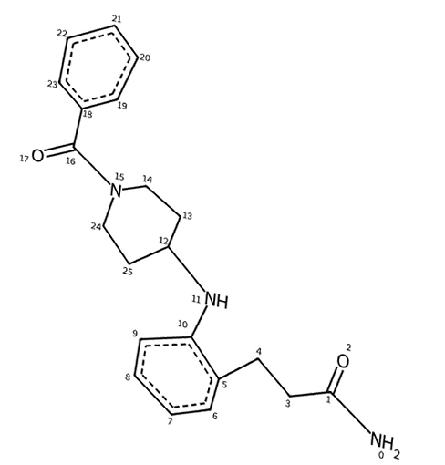 NC(=O)CCc1ccccc1NC1CCN(C(=O)c2ccccc2)CC1